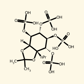 CCC[C@@]12OC(C)(C)O[C@@H]1[C@@H](OP(=O)(O)O)[C@H](OP(=O)(O)O)[C@@H](OP(=O)(O)O)[C@@H]2OP(=O)(O)O